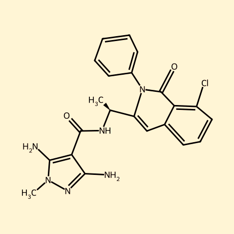 C[C@H](NC(=O)c1c(N)nn(C)c1N)c1cc2cccc(Cl)c2c(=O)n1-c1ccccc1